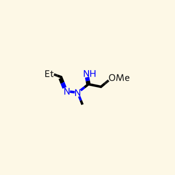 CC/C=N/N(C)C(=N)COC